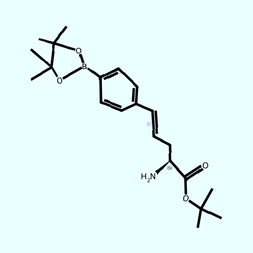 CC(C)(C)OC(=O)[C@@H](N)C/C=C/c1ccc(B2OC(C)(C)C(C)(C)O2)cc1